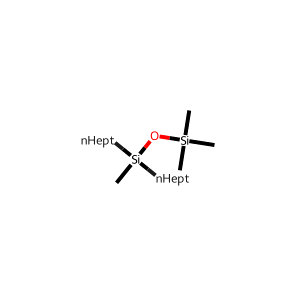 CCCCCCC[Si](C)(CCCCCCC)O[Si](C)(C)C